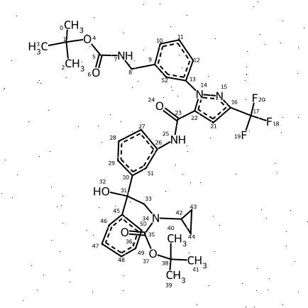 CC(C)(C)OC(=O)NCc1cccc(-n2nc(C(F)(F)F)cc2C(=O)Nc2cccc(C(O)(CN(C(=O)OC(C)(C)C)C3CC3)c3ccccc3)c2)c1